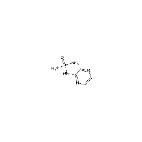 NP(N)(=O)Nc1cnccn1